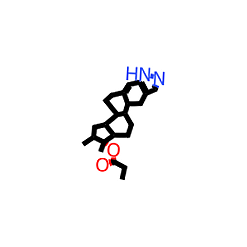 CCC(=O)OC1(C)C(C)CC2C3CCC4=Cc5[nH]ncc5CC4C3CCC21